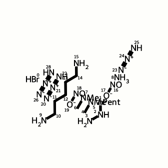 Br.CCCCCNN.CNC.CNC.N.NCCCCCN.O=[NH+][O-].O=[NH+][O-].[N-]=[N+]=N.[N-]=[N+]=N.[N-]=[N+]=N